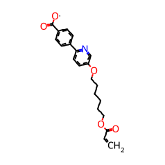 C=CC(=O)OCCCCCCOc1ccc(-c2ccc(C([O])=O)cc2)nc1